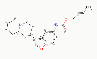 CC=CCOC(=O)Nc1ccc2occ(C3CCN4CCCCC4C3)c2c1